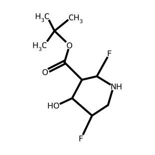 CC(C)(C)OC(=O)C1C(F)NCC(F)C1O